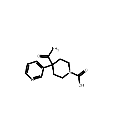 NC(=O)C1(c2cccnc2)CCN(C(=O)O)CC1